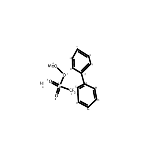 COOS(=O)(=O)C(F)(F)F.I.c1ccc(-c2ccccc2)cc1